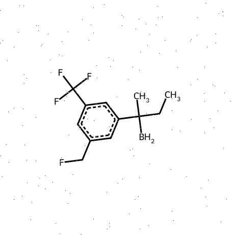 BC(C)(CC)c1cc(CF)cc(C(F)(F)F)c1